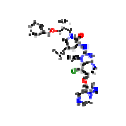 CC(COCc1ccccc1)Cn1cc(C2CC2)cc(Nc2nc3ncc(Oc4cnn5ccncc45)c(Cl)c3n2C)c1=O